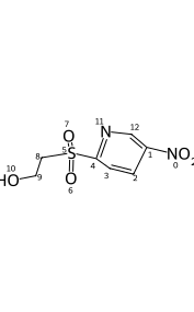 O=[N+]([O-])c1ccc(S(=O)(=O)CCO)nc1